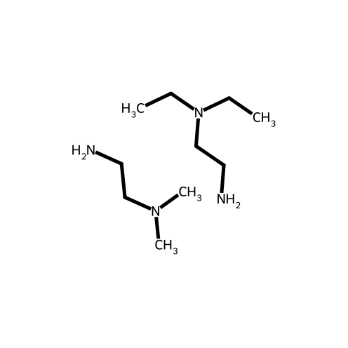 CCN(CC)CCN.CN(C)CCN